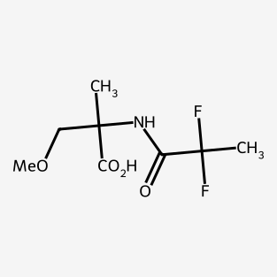 COCC(C)(NC(=O)C(C)(F)F)C(=O)O